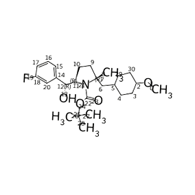 COC1CCC(C[C@@]2(C)CC[C@H]([C@H](O)c3cccc(F)c3)N2C(=O)OC(C)(C)C)CC1